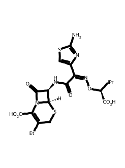 CCC1=C(C(=O)O)N2C(=O)[C@@H](NC(=O)/C(=N\O[C@H](C(=O)O)C(C)C)c3csc(N)n3)[C@H]2SC1